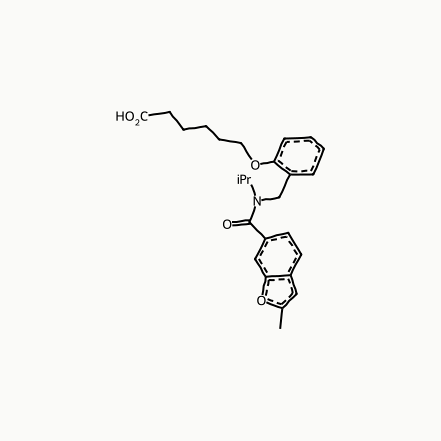 Cc1cc2ccc(C(=O)N(Cc3ccccc3OCCCCCC(=O)O)C(C)C)cc2o1